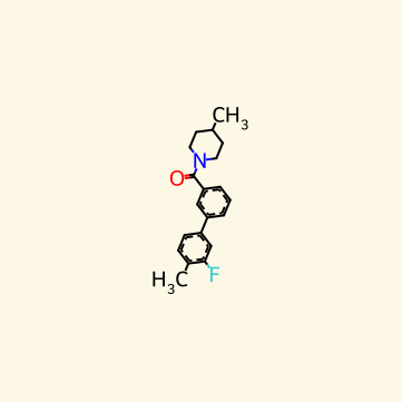 Cc1ccc(-c2cccc(C(=O)N3CCC(C)CC3)c2)cc1F